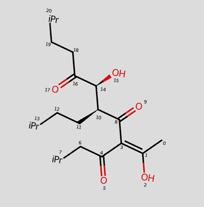 C/C(O)=C(/C(=O)CC(C)C)C(=O)[C@@H](CCC(C)C)[C@H](O)C(=O)CCC(C)C